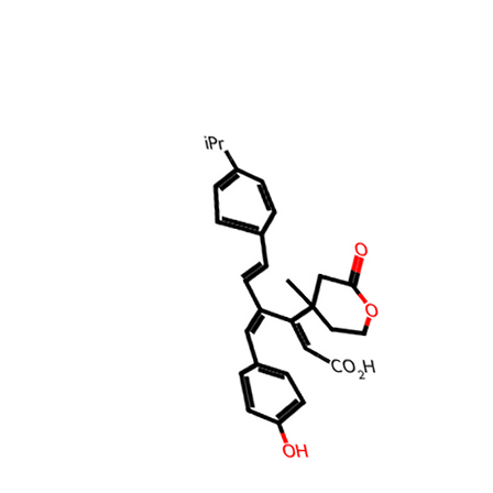 CC(C)c1ccc(C=CC(=Cc2ccc(O)cc2)C(=CC(=O)O)C2(C)CCOC(=O)C2)cc1